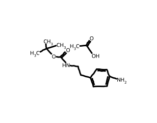 CC(=O)O.CC(C)(C)OC(=O)NCCc1ccc(N)cc1